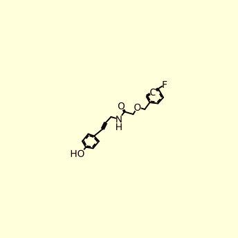 O=C(COCc1ccc(F)cc1)NCC#Cc1ccc(O)cc1